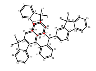 CC1(C)c2ccccc2-c2ccc(N(c3ccc4c(c3)C(C)(C)c3ccccc3-4)c3ccccc3-c3c4c(cc5ccccc35)C(C)(C)c3ccccc3-4)cc21